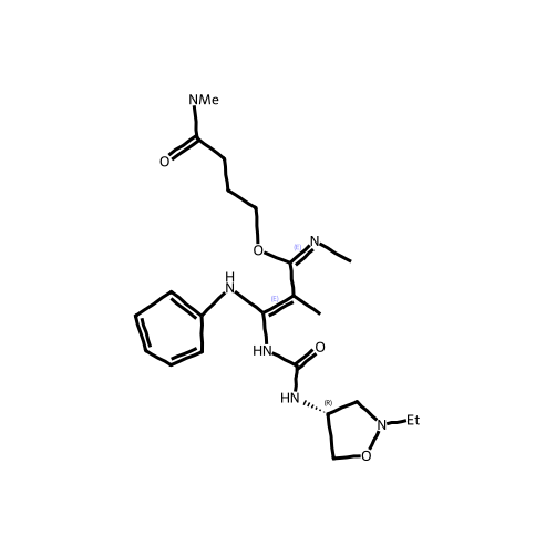 CCN1C[C@@H](NC(=O)N/C(Nc2ccccc2)=C(C)/C(=N\C)OCCCC(=O)NC)CO1